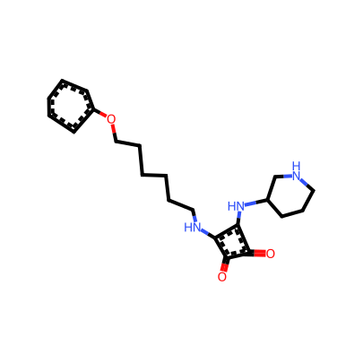 O=c1c(NCCCCCCOc2ccccc2)c(NC2CCCNC2)c1=O